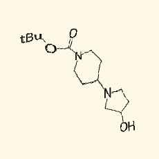 CC(C)(C)OC(=O)N1CCC(N2CCC(O)C2)CC1